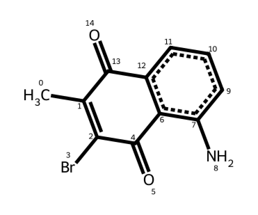 CC1=C(Br)C(=O)c2c(N)cccc2C1=O